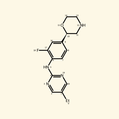 CCc1cnc(Nc2ccc([C@@H]3CNCCO3)cc2F)nc1